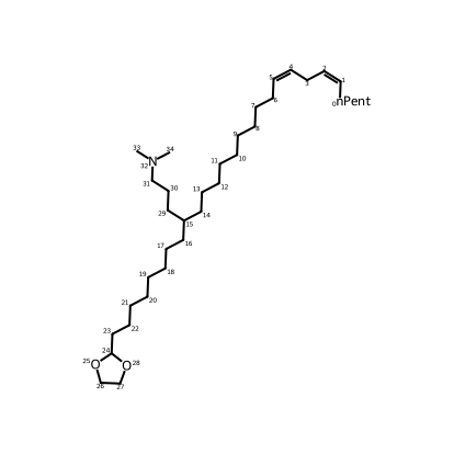 CCCCC/C=C\C/C=C\CCCCCCCCCC(CCCCCCCCC1OCCO1)CCCN(C)C